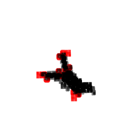 CC1(C)CC[C@]2(C(=O)O)CC[C@]3(C)C(=CC[C@@H]4[C@@]5(C)CC[C@H](OC(=O)CCCCC(=O)O)C(C)(COC(=O)CCCCC(=O)O)[C@@H]5CC[C@]43C)[C@@H]2C1